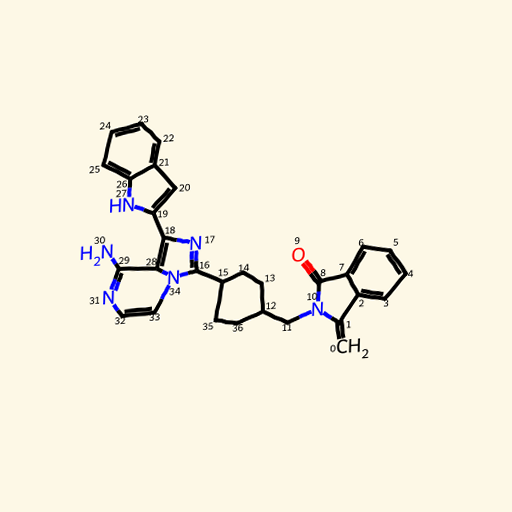 C=C1c2ccccc2C(=O)N1CC1CCC(c2nc(-c3cc4ccccc4[nH]3)c3c(N)nccn23)CC1